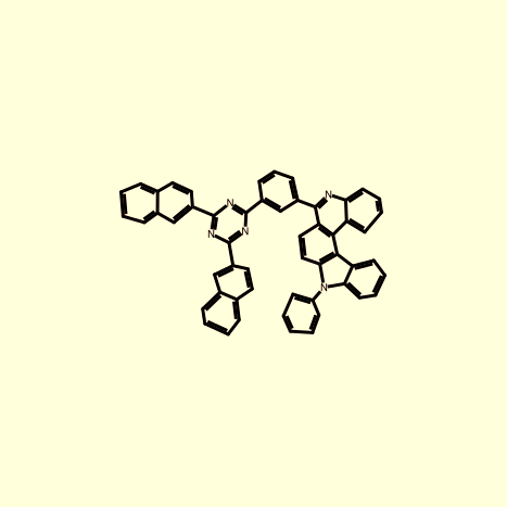 c1ccc(-n2c3ccccc3c3c4c(ccc32)c(-c2cccc(-c3nc(-c5ccc6ccccc6c5)nc(-c5ccc6ccccc6c5)n3)c2)nc2ccccc24)cc1